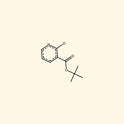 CC(C)(C)OC(=O)c1cccnc1[O]